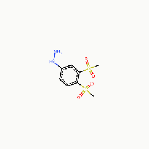 CS(=O)(=O)c1ccc(NN)cc1S(C)(=O)=O